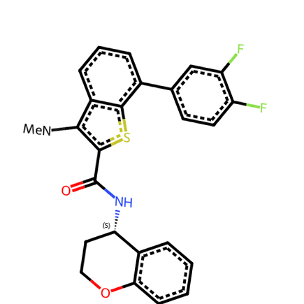 CNc1c(C(=O)N[C@H]2CCOc3ccccc32)sc2c(-c3ccc(F)c(F)c3)cccc12